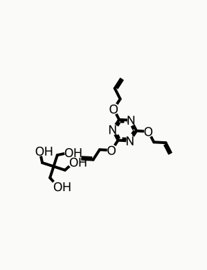 C=CCOc1nc(OCC=C)nc(OCC=C)n1.OCC(CO)(CO)CO